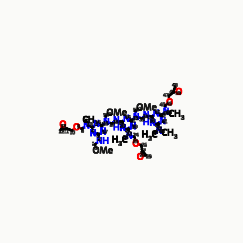 COCNc1nc(N(C)COCC2CO2)nc(N(CNc2nc(N(C)COCC3CO3)nc(N(CNc3nc(N(C)C)nc(N(C)COCC4CO4)n3)COC)n2)COC)n1